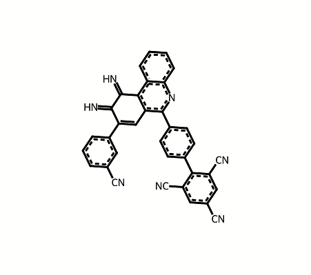 N#Cc1cccc(C2=Cc3c(-c4ccc(-c5c(C#N)cc(C#N)cc5C#N)cc4)nc4ccccc4c3C(=N)C2=N)c1